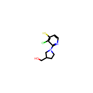 OCC1CCN(c2nccc(S)c2Cl)C1